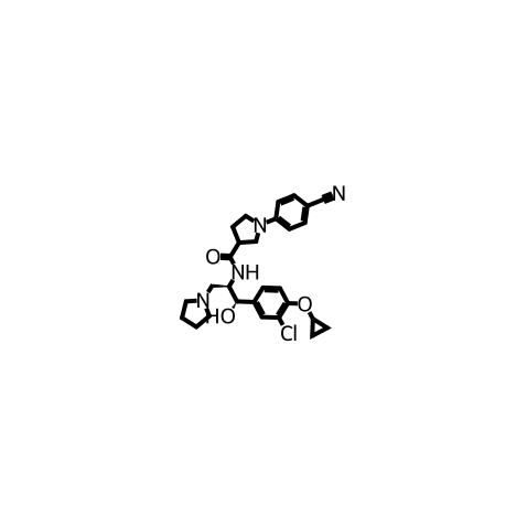 N#Cc1ccc(N2CCC(C(=O)N[C@H](CN3CCCC3)[C@@H](O)c3ccc(OC4CC4)c(Cl)c3)C2)cc1